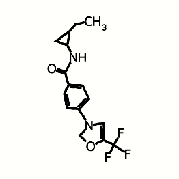 CCC1CC1NC(=O)c1ccc(N2C=C(C(F)(F)F)OC2)cc1